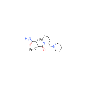 CCCC(C(N)=O)C(CC(C)C)C(=O)N1CCCCC1CN1CCCCC1